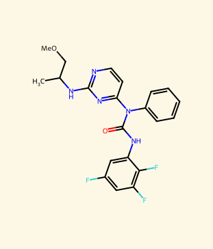 COCC(C)Nc1nccc(N(C(=O)Nc2cc(F)cc(F)c2F)c2ccccc2)n1